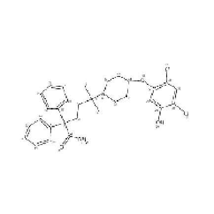 CC(C)(CCC(C(N)=O)(c1ccccc1)c1ccccc1)N1CCC(Oc2cc(O)c(Cl)cc2Cl)CC1